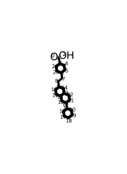 O=C(O)c1ccc(CCc2ccc3cc(-c4ccccc4)ccc3c2)cc1